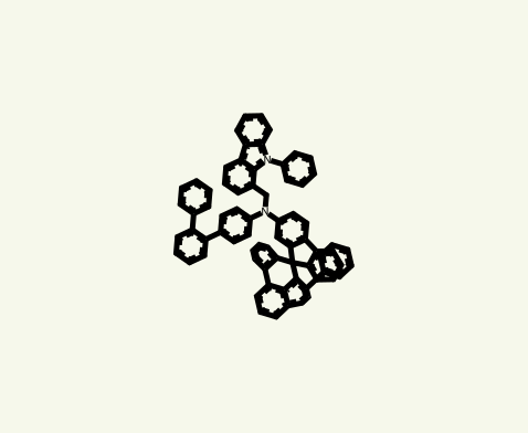 c1ccc(-c2ccccc2-c2ccc(N(Cc3cccc4c5ccccc5n(-c5ccccc5)c34)c3ccc4c(c3)C3(c5ccccc5-4)c4ccccc4-c4cccc5ccc(-c6ccccc6)c3c45)cc2)cc1